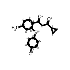 O=C(CC(=O)C1CC1)c1ccc(C(F)(F)F)cc1Sc1ccc(Cl)cc1